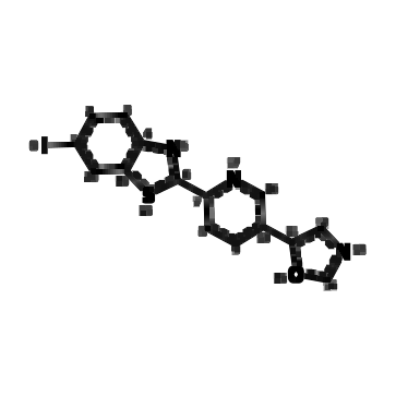 Ic1ccc2nc(-c3ccc(-c4cnco4)cn3)sc2c1